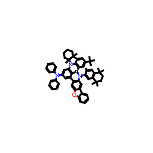 Cc1cc2c(cc1N1B3c4cc(C(C)(C)C)cc5c4N(c4cc(N(c6ccccc6)c6ccccc6)cc(c43)-c3cc4oc6ccccc6c4cc31)C1(C)CCCCC51C)C(C)(C)CCC2(C)C